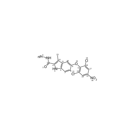 CCCNC(=O)c1[nH]c2ccc(Oc3c(Cl)cc([N+](=O)[O-])cc3Cl)cc2c1C